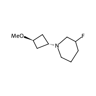 CO[C@H]1C[C@H](N2CCCC(F)C2)C1